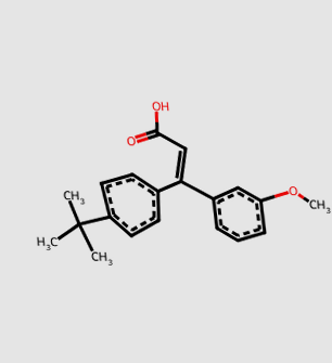 COc1cccc(/C(=C/C(=O)O)c2ccc(C(C)(C)C)cc2)c1